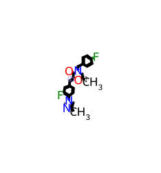 Cc1cn(-c2ccc(/C=C3\O[C@@H](C)CN(Cc4ccc(F)cc4)C3=O)cc2F)cn1